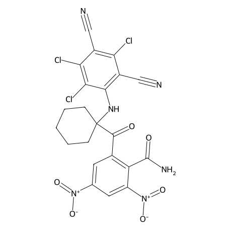 N#Cc1c(Cl)c(Cl)c(NC2(C(=O)c3cc([N+](=O)[O-])cc([N+](=O)[O-])c3C(N)=O)CCCCC2)c(C#N)c1Cl